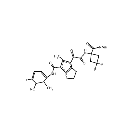 CNC(=O)C1(NC(=O)C(=O)c2c(C)c(C(=O)NC3=CC=C(F)C(C#N)C3C)n3c2CCC3)CC(F)(F)C1